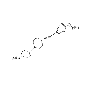 CCCCOc1ccc(C#CC2CCC([C@H]3CC[C@H](CCCC)CC3)CC2)cc1